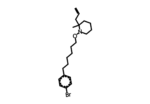 C=CCC1(C)CCCCN1OCCCCCCc1ccc(Br)cc1